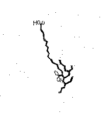 CCCCC(CC)CC(CC(CC)CCCC)C(CCCCCCCCCCCCCCC(=O)O)C(=O)O